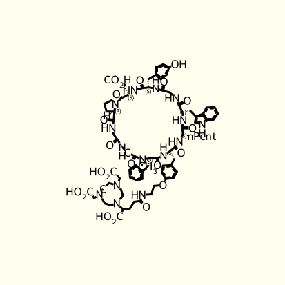 CCCCC[C@@H]1NC(=O)[C@H](Cc2ccc(OCCNC(=O)CCC(C(=O)O)N3CCN(CC(=O)O)CCN(CC(=O)O)CC3)cc2)NC(=O)[C@H](Cc2ccccc2)N(C)C(=O)CNC(=O)CNC(=O)[C@H]2CCCN2C(=O)[C@H](CC(=O)O)NC(=O)[C@H](Cc2ccc(O)cc2)NC(=O)CNC(=O)[C@H](Cc2c[nH]c3ccccc23)NC1=O